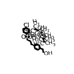 CC(C)C(C)(C)[Si](C)(C)O[Si](C)(C)C(C)(C)C(C)C.O=S(=O)(CCCc1ccc(CCO)cc1)c1ccc(Cl)cc1